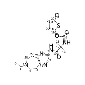 CCN1CCc2ncc(NC(=O)C(C)(C)NC(=O)Oc3ccc(Cl)s3)nc2CC1